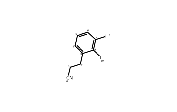 N#CCCc1cccc(I)c1F